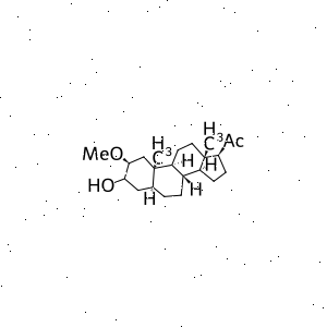 CO[C@H]1C[C@@]2(C)[C@@H](CC[C@@H]3[C@@H]2CC[C@]2(C)[C@@H](C(C)=O)CC[C@@H]32)CC1O